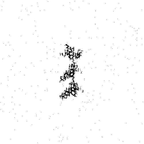 CCCNC(=O)c1c(N)c2ccc(CCCNC(=O)c3c(N)c4cc(CCCNC(=O)c5c(N)c6cccc(-c7cccc(OC(F)(F)F)n7)c6[nH]c5=O)cc(-c5cccc(OC(F)F)n5)c4[nH]c3=O)c(-c3cccc(C(F)F)n3)c2[nH]c1=O